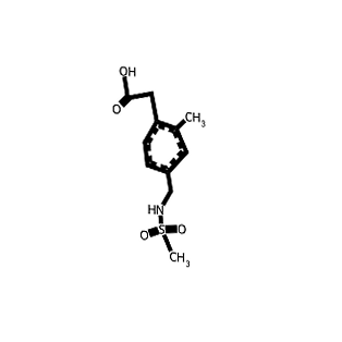 Cc1cc(CNS(C)(=O)=O)ccc1CC(=O)O